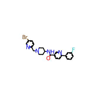 O=C(NC1CCN(Cc2ccc(Br)cn2)CC1)c1ccc(-c2cccc(F)c2)nc1